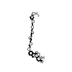 CN1CC[C@@H](OCCOCCOCCOCCOCCOc2ccc3c(c2)C(=O)N(C2CCC(=O)NC2=O)C3)C1